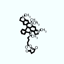 CN(CCCC(=O)ON1C(=O)CCC1=O)C(=O)c1ccccc1C1=c2cc3c(cc2[Si](C)(C)c2cc4c(cc21)CCN4C)=[N+](C)CC3